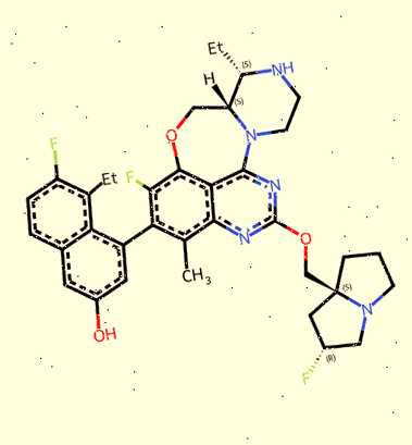 CCc1c(F)ccc2cc(O)cc(-c3c(F)c4c5c(nc(OC[C@@]67CCCN6C[C@H](F)C7)nc5c3C)N3CCN[C@@H](CC)[C@H]3CO4)c12